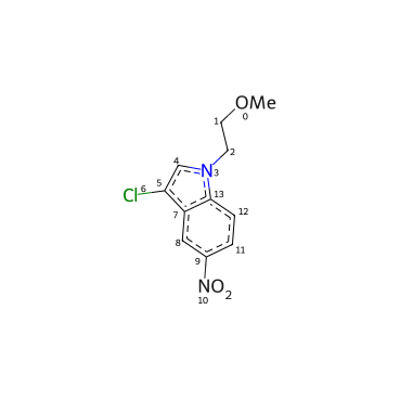 COCCn1cc(Cl)c2cc([N+](=O)[O-])ccc21